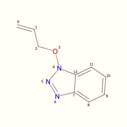 C=CCOn1nnc2ccccc21